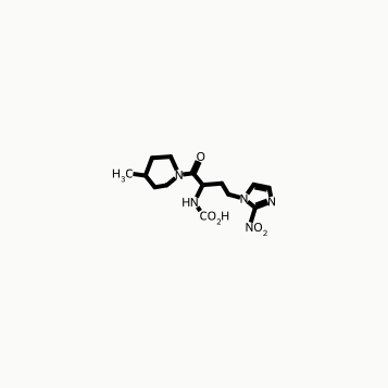 CC1CCN(C(=O)C(CCn2ccnc2[N+](=O)[O-])NC(=O)O)CC1